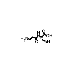 NCCC(=O)N[C@@H](CS)C(=O)O